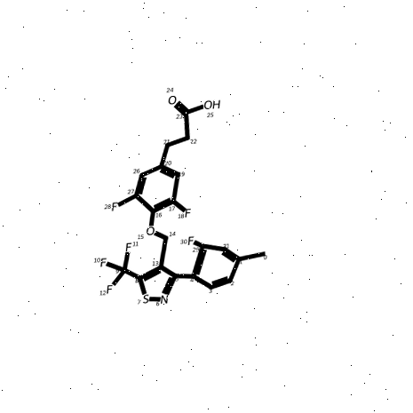 Cc1ccc(-c2nsc(C(F)(F)F)c2COc2c(F)cc(CCC(=O)O)cc2F)c(F)c1